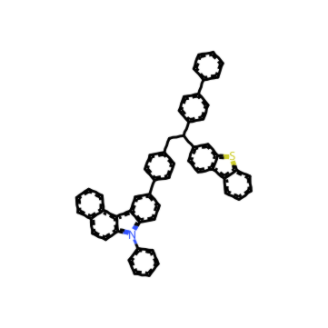 c1ccc(-c2ccc(C(Cc3ccc(-c4ccc5c(c4)c4c6ccccc6ccc4n5-c4ccccc4)cc3)c3ccc4c(c3)sc3ccccc34)cc2)cc1